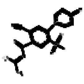 CS(=O)(=O)c1cc(C(=O)N=C(N)N)c(C#N)cc1-n1ccc(=O)cc1